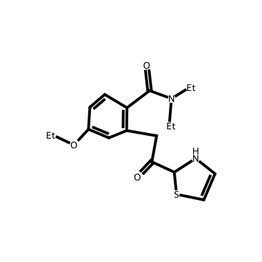 CCOc1ccc(C(=O)N(CC)CC)c(CC(=O)C2NC=CS2)c1